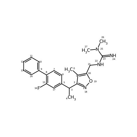 Cc1c(C(C)c2ccc(-c3ccccc3)c(F)c2)noc1CNC(=N)N(C)C